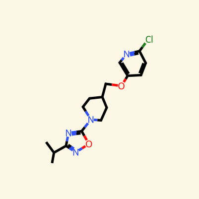 CC(C)c1noc(N2CCC(COc3ccc(Cl)nc3)CC2)n1